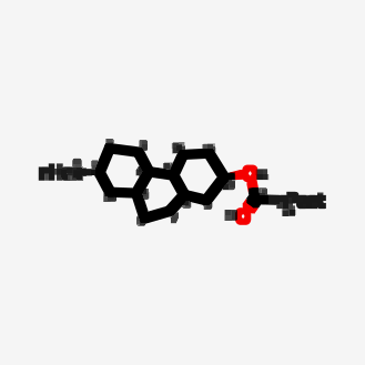 CCCCCC[C@@H]1CCC2C(CCC3C[C@H](OC(=O)CCCCC)CCC32)C1